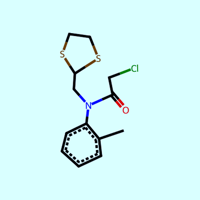 Cc1ccccc1N(CC1SCCS1)C(=O)CCl